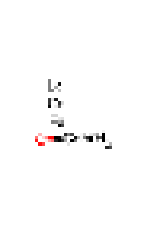 [Co].[Fe].[La].[O]=[Gd].[SrH2]